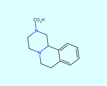 O=C(O)N1CCN2CCc3ccccc3C2C1